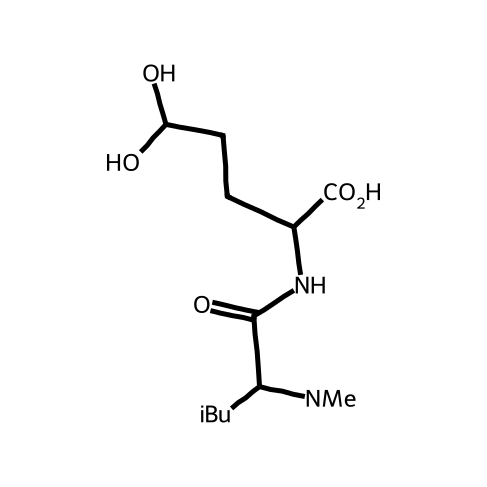 CCC(C)C(NC)C(=O)NC(CCC(O)O)C(=O)O